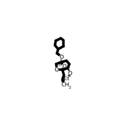 C=CCC12OC[C@@](OCC3CCCCC3)(CC[C@H]1OCC)O2